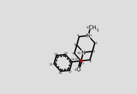 CN1CC2CC(=O)CC(C1)N2Cc1ccccc1